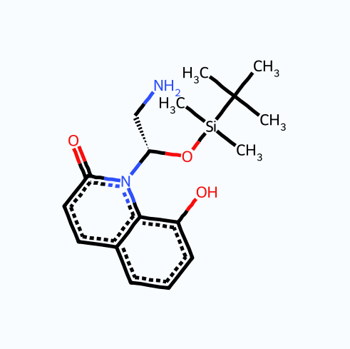 CC(C)(C)[Si](C)(C)O[C@@H](CN)n1c(=O)ccc2cccc(O)c21